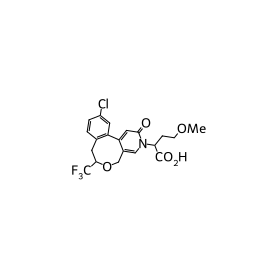 COCCC(C(=O)O)n1cc2c(cc1=O)-c1cc(Cl)ccc1CC(C(F)(F)F)OC2